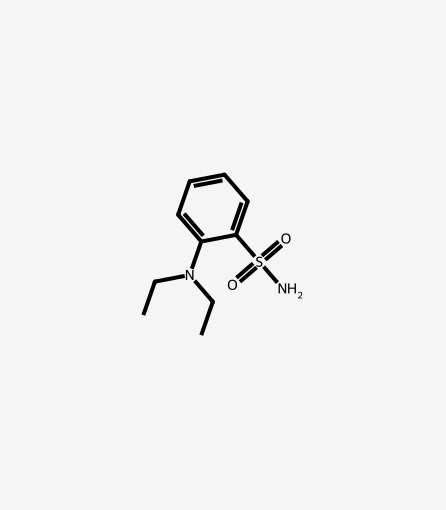 CCN(CC)c1ccccc1S(N)(=O)=O